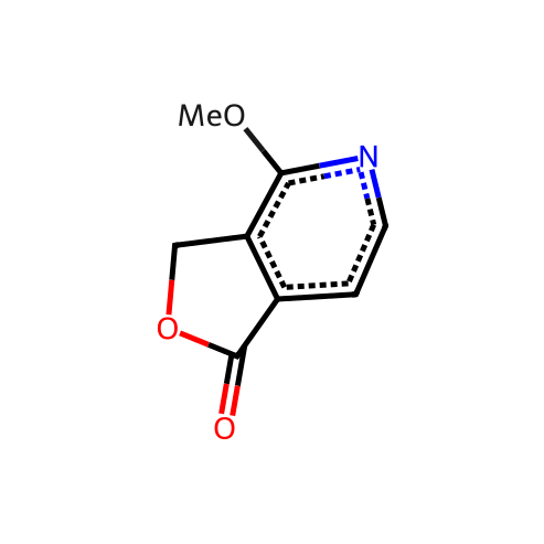 COc1nccc2c1COC2=O